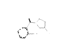 O=C(c1ncc[c]c1O)N1CCC(O)C1